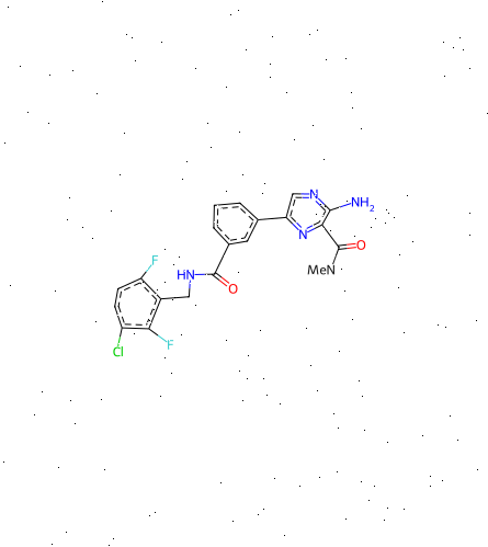 CNC(=O)c1nc(-c2cccc(C(=O)NCc3c(F)ccc(Cl)c3F)c2)cnc1N